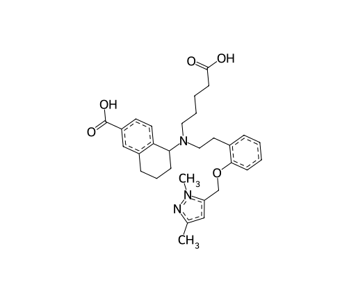 Cc1cc(COc2ccccc2CCN(CCCCC(=O)O)C2CCCc3cc(C(=O)O)ccc32)n(C)n1